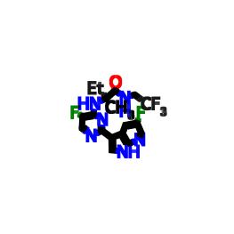 CCC(C)(Nc1nc(-c2c[nH]c3ncc(F)cc23)ncc1F)C(=O)NCC(F)(F)F